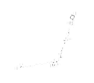 [CH2]c1ccc(CNC(=O)COCCOCCNC(=O)COCCOCCNC(=O)CC[C@H](NC(=O)CCCCCCCCCCCCCCCCC(=O)O)C(=O)O)cc1